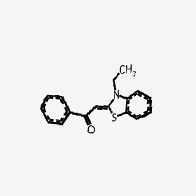 CCN1/C(=C/C(=O)c2ccccc2)Sc2ccccc21